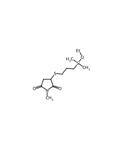 CCO[Si](C)(C)CCCSC1CC(=O)N(C)C1=O